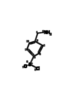 NCc1ccc([S+]([O-])Cl)cc1